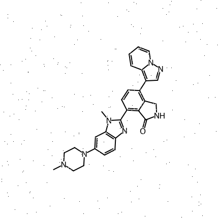 CN1CCN(c2ccc3nc(-c4ccc(-c5cnn6ccccc56)c5c4C(=O)NC5)n(C)c3c2)CC1